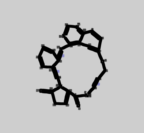 O=C1N/C=C/COc2ccc3ncnc(c3c2)/N=c2\cccc\c2=C/N2C(=O)CC=C12